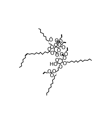 C=CCOC(=O)O[C@@H](CCCCCCCCCCC)CCO[C@@H]1[C@@H](OCCCCCCCCCCCC)[C@H](OC(=O)OCC=C)[C@@H](CO[C@@H]2O[C@H](COC)[C@@H](OP(=O)(OCC=C)OCC=C)[C@H](OCC[C@H](CCCCCCC)OC)[C@H]2OC(=O)CCCCCCCCC/C=C\CCCCCC)O[C@@H]1O